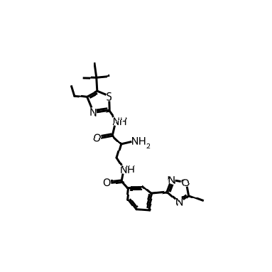 CCc1nc(NC(=O)C(N)CNC(=O)c2cccc(-c3noc(C)n3)c2)sc1C(C)(C)C